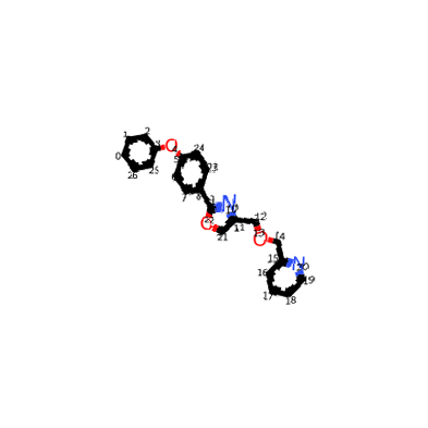 c1ccc(Oc2ccc(-c3nc(COCc4ccccn4)co3)cc2)cc1